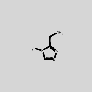 Cn1[c]nnc1CN